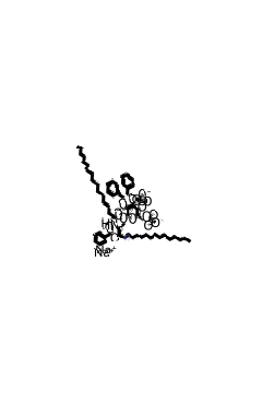 CCCCCCCCCCCCC/C=C/[C@@H](OC(=O)c1ccccc1)[C@H](CO[C@@H]1O[C@H](COS(=O)(=O)[O-])[C@H](OS(=O)(=O)[O-])[C@H](OCc2ccccc2)[C@H]1OCc1ccccc1)NC(=O)CCCCCCCCCCCCCCC.[Na+].[Na+]